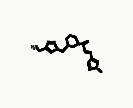 Cn1cc(C=CC(=O)N2CCCC(Cn3cc(CN)nn3)C2)cn1